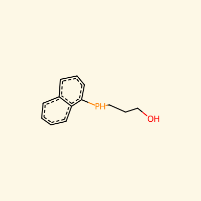 OCCCPc1cccc2ccccc12